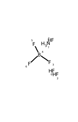 F.F.F.FB(F)F.N